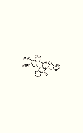 COC(=O)c1c(-c2cc(OC)c(OC)c(OC)c2)c2ccccc2c(=O)n1-c1ccc2[nH]ncc2c1